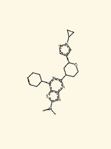 CN(C)c1nc2nc(C3CCOC(c4cnn(C5CC5)c4)C3)nc(C3CCCCC3)c2s1